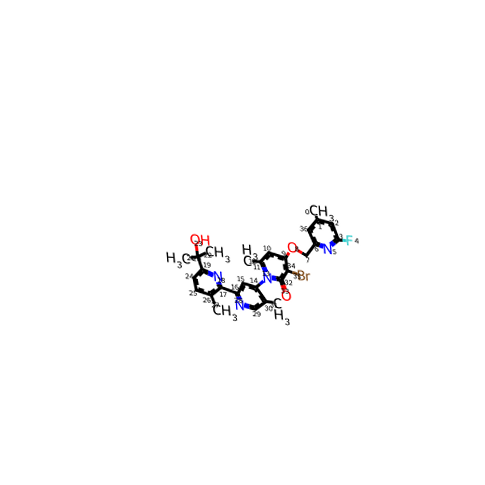 Cc1cc(F)nc(COc2cc(C)n(-c3cc(-c4nc(C(C)(C)O)ccc4C)ncc3C)c(=O)c2Br)c1